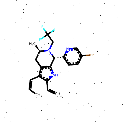 C=Cc1[nH]c2c(c1/C=C\C)C[C@@H](C)N(CC(F)(F)F)[C@@H]2c1ccc(Br)cn1